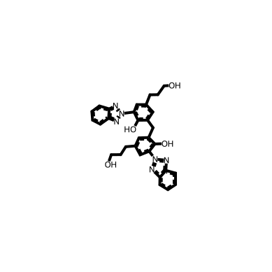 OCCCc1cc(Cc2cc(CCCO)cc(-n3nc4ccccc4n3)c2O)c(O)c(-n2nc3ccccc3n2)c1